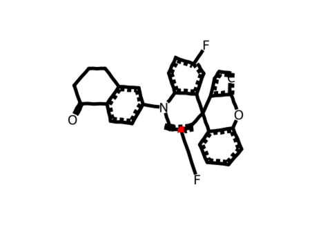 O=C1CCCc2cc(N3c4ccc(F)cc4C4(c5ccccc5Oc5ccccc54)c4cc(F)ccc43)ccc21